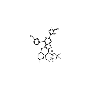 C[C@H]1CC[C@H](Cn2c(N3CCO[C@H]4CC(F)(F)C[C@@H]43)nc3cc(-c4noc(=O)[nH]4)nc(-c4cncc(Cl)c4)c32)CC1